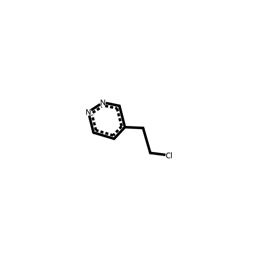 ClCCc1ccnnc1